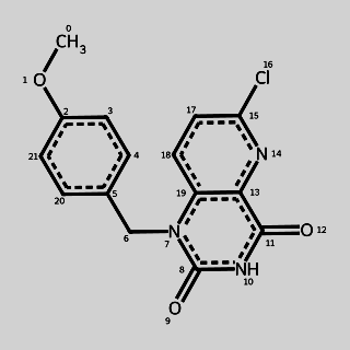 COc1ccc(Cn2c(=O)[nH]c(=O)c3nc(Cl)ccc32)cc1